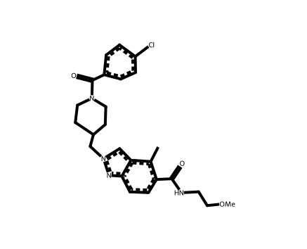 COCCNC(=O)c1ccc2nn(CC3CCN(C(=O)c4ccc(Cl)cc4)CC3)cc2c1C